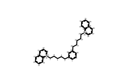 c1cc(CCCCC[n+]2cccc3ccccc32)cc(CCCCC[n+]2cccc3ccccc32)c1